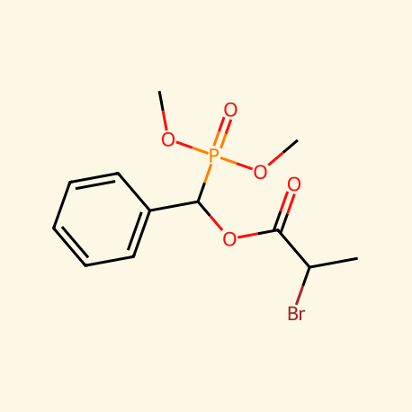 COP(=O)(OC)C(OC(=O)C(C)Br)c1ccccc1